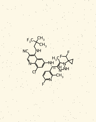 CC1=C([C@@H](Nc2cc(Cl)c3ncc(C#N)c(NCC(C)(C)C(F)(F)F)c3c2)c2ccc(F)nc2C)NNN1C1(C(F)F)CC1